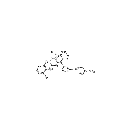 CCCCn1c(=O)c(NC(=O)Nc2c(C(C)C)cccc2C(C)C)c(-c2cccc(C#CCN(C)C)c2)c2cccnc21